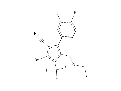 CCOCn1c(-c2ccc(F)c(F)c2)c(C#N)c(Br)c1C(F)(F)F